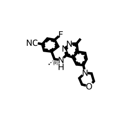 Cc1nnc(N[C@H](C)c2cc(F)cc(C#N)c2)c2cc(N3CCOCC3)ccc12